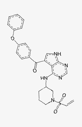 C=CS(=O)(=O)N1CCCC(Nc2ncnc3[nH]cc(C(=O)c4ccc(Oc5ccccc5)cc4)c23)C1